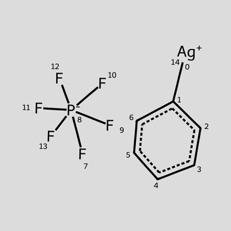 Cc1ccccc1.F[P-](F)(F)(F)(F)F.[Ag+]